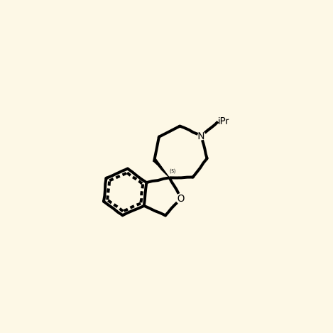 CC(C)N1CCC[C@@]2(CC1)OCc1ccccc12